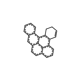 C1=Cc2c(c3c4ccccc4cc4ccc5cccc2c5c43)CC1